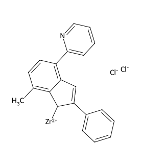 Cc1ccc(-c2ccccn2)c2c1[CH]([Zr+2])C(c1ccccc1)=C2.[Cl-].[Cl-]